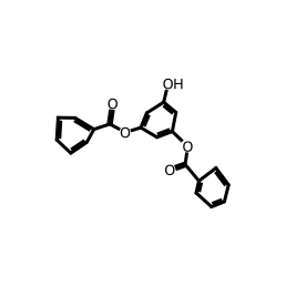 O=C(Oc1cc(O)cc(OC(=O)c2ccccc2)c1)c1ccccc1